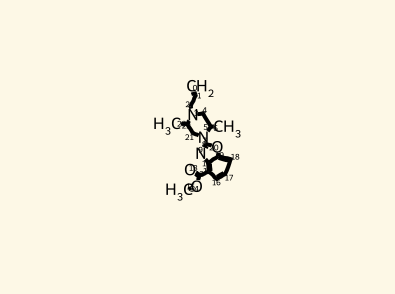 C=CCN1CC(C)N(c2nc3c(C(=O)OC)cccc3o2)CC1C